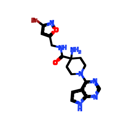 NC1(C(=O)NCc2cc(Br)no2)CCN(c2ncnc3[nH]ccc23)CC1